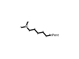 [CH2]N(C)CCCCCCCCCC